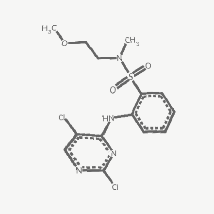 COCCN(C)S(=O)(=O)c1ccccc1Nc1nc(Cl)ncc1Cl